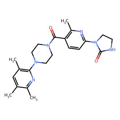 Cc1cc(C)c(N2CCN(C(=O)c3ccc(N4CCNC4=O)nc3C)CC2)nc1C